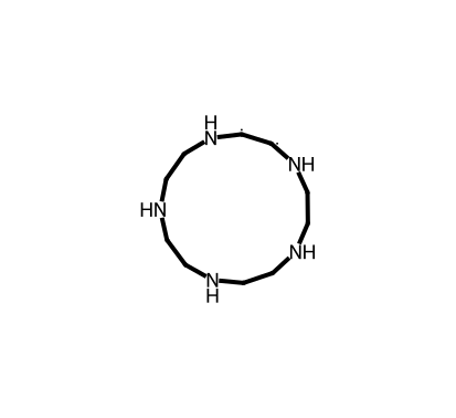 [CH]1[CH]NCCNCCNCCNCCN1